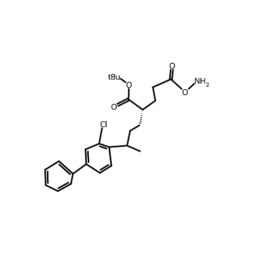 CC(CC[C@@H](CCC(=O)ON)C(=O)OC(C)(C)C)c1ccc(-c2ccccc2)cc1Cl